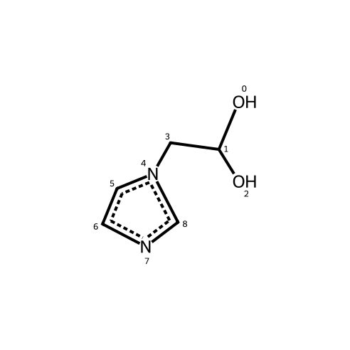 OC(O)Cn1ccnc1